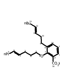 CCCC=CCCCOc1c(CCC=CCCCC)cccc1C(=O)O